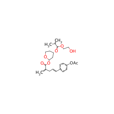 C=C(C)C(=O)OCCO.C=C(CC=Cc1ccc(OC(C)=O)cc1)C(=O)OC1CCCCO1